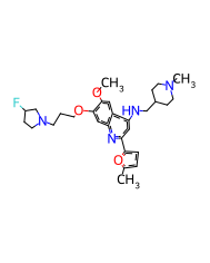 COc1cc2c(NCC3CCN(C)CC3)cc(-c3ccc(C)o3)nc2cc1OCCCN1CCC(F)C1